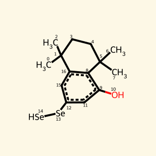 CC1(C)CCC(C)(C)c2c(O)cc([Se][SeH])cc21